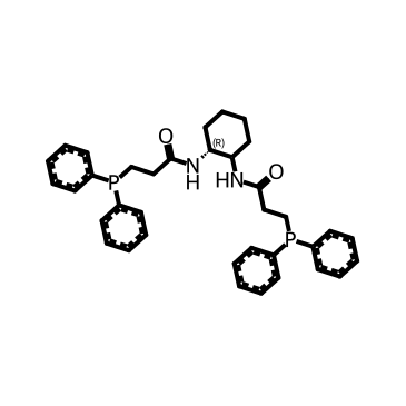 O=C(CCP(c1ccccc1)c1ccccc1)NC1CCCC[C@H]1NC(=O)CCP(c1ccccc1)c1ccccc1